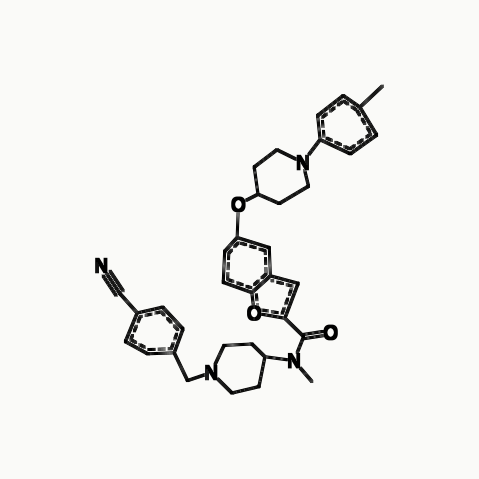 Cc1ccc(N2CCC(Oc3ccc4oc(C(=O)N(C)C5CCN(Cc6ccc(C#N)cc6)CC5)cc4c3)CC2)cc1